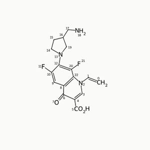 C=Cn1cc(C(=O)O)c(=O)c2cc(F)c(N3CCC(CN)C3)c(F)c21